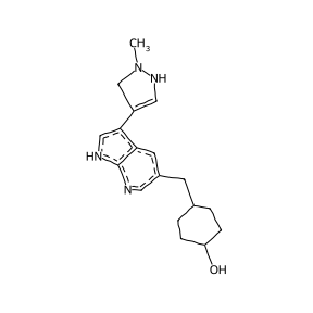 CN1CC(c2c[nH]c3ncc(CC4CCC(O)CC4)cc23)=CN1